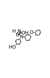 NP(=O)(O)N(c1ccc(O)cc1)c1cccc(Oc2ccccc2)c1